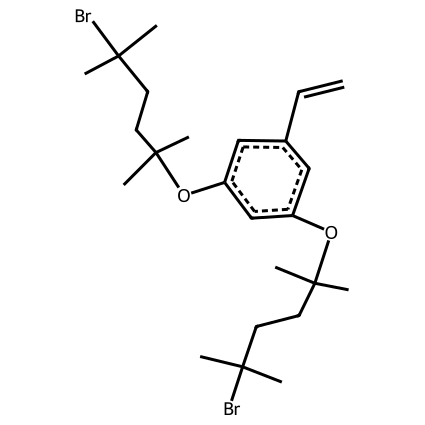 C=Cc1cc(OC(C)(C)CCC(C)(C)Br)cc(OC(C)(C)CCC(C)(C)Br)c1